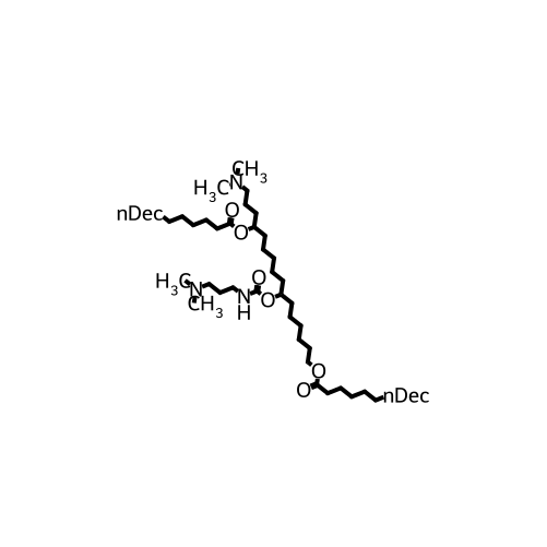 CCCCCCCCCCCCCCCC(=O)OCCCCCCC(CCCCCC(CCCN(C)C)OC(=O)CCCCCCCCCCCCCCC)OC(=O)NCCCN(C)C